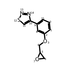 c1cc(OCC2CO2)cc(-c2csnn2)c1